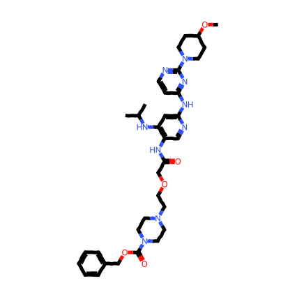 COC1CCN(c2nccc(Nc3cc(NC(C)C)c(NC(=O)COCCN4CCN(C(=O)OCc5ccccc5)CC4)cn3)n2)CC1